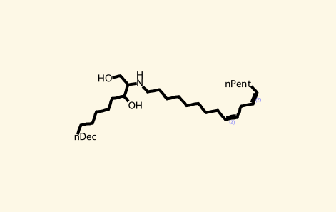 CCCCC/C=C\C/C=C\CCCCCCCCNC(CO)C(O)CCCCCCCCCCCCCCC